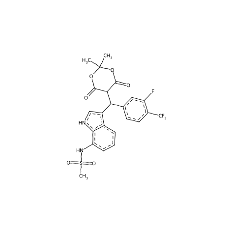 CC1(C)OC(=O)C(C(c2ccc(C(F)(F)F)c(F)c2)c2c[nH]c3c(NS(C)(=O)=O)cccc23)C(=O)O1